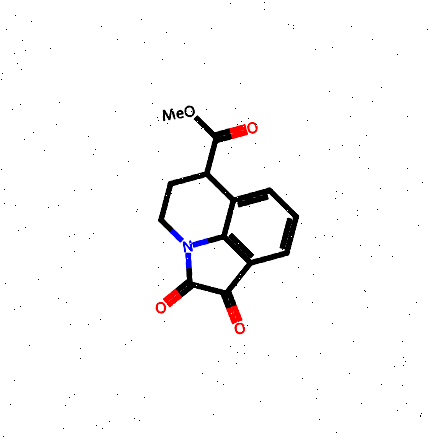 COC(=O)C1CCN2C(=O)C(=O)c3cccc1c32